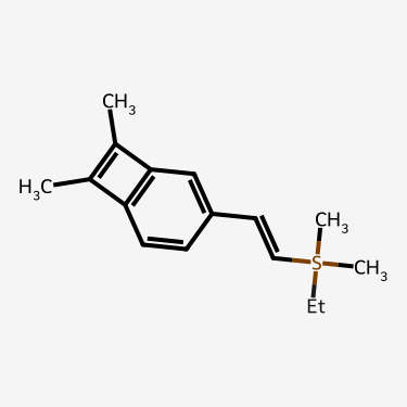 CCS(C)(C)/C=C/c1ccc2c(c1)C(C)=C2C